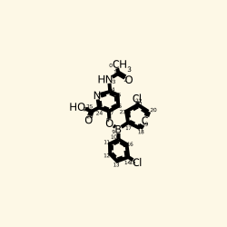 CC(=O)Nc1ccc(OB(c2cccc(Cl)c2)c2cccc(Cl)c2)c(C(=O)O)n1